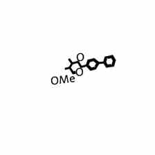 COC(=O)C(C)C(C)C(=O)Cc1ccc(-c2ccccc2)cc1